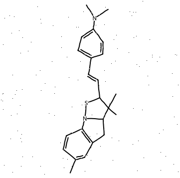 Cc1ccc2c(c1)CC1N2SC(C=Cc2ccc(N(C)C)cc2)C1(C)C